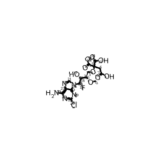 CO[C@H](COC(CC(=O)O)(C(=O)O)C(=O)O)[C@@H](O)[C@H](F)n1cnc2c(N)nc(Cl)nc21